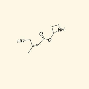 CC(=CC(=O)OC1CCN1)CO